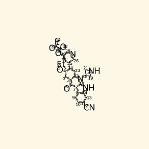 CCOc1cc2c(=O)c3c4ccc(C#N)cc4[nH]c3n(C3CNC3)c2cc1-c1cncc(OS(=O)(=O)F)c1